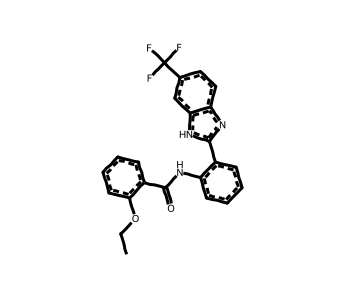 CCOc1ccccc1C(=O)Nc1ccccc1-c1nc2ccc(C(F)(F)F)cc2[nH]1